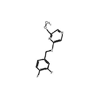 COc1cncc(SCc2ccc(F)c(F)c2)n1